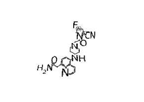 N#C[C@@H]1C[C@H](F)CN1C(=O)CN1CCC(Nc2ccc(CC(N)=O)c3ncccc23)CC1